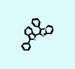 c1ccc(-c2sc(-c3nc4ccccn4c3-c3ccccc3)c3ccccc23)cc1